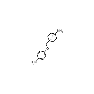 Nc1ccc(OCC23CCC(N)(CC2)CC3)cc1